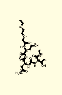 CCOCCOCC(=O)N[C@@H](CCO)c1noc([C@H](CC(N)=O)NC(=O)N[C@H](C(=O)NC)C(C)O)n1